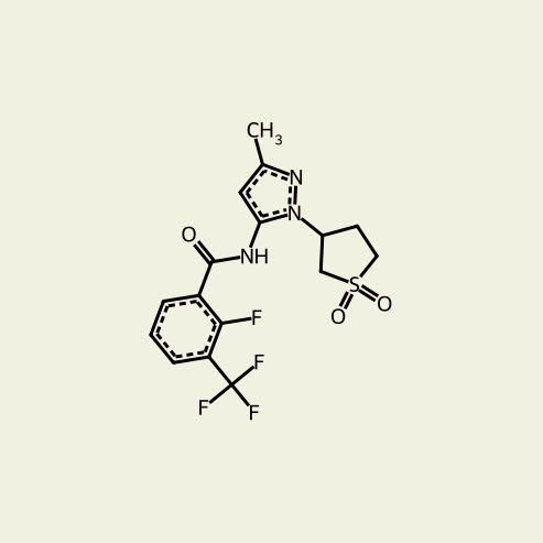 Cc1cc(NC(=O)c2cccc(C(F)(F)F)c2F)n(C2CCS(=O)(=O)C2)n1